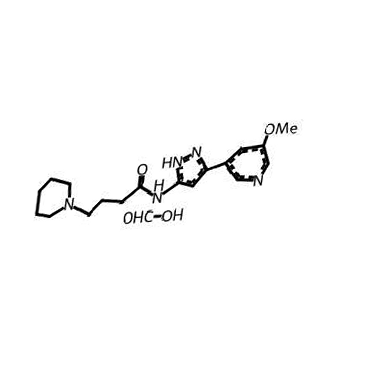 COc1cncc(-c2cc(NC(=O)CCCN3CCCCC3)[nH]n2)c1.O=CO